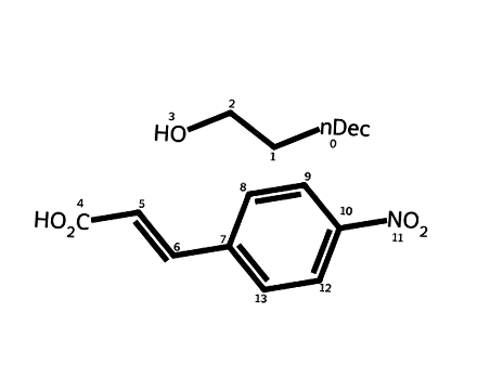 CCCCCCCCCCCCO.O=C(O)C=Cc1ccc([N+](=O)[O-])cc1